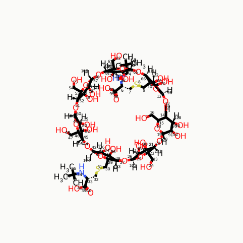 CC(C)(C)CN[C@H](CSCC1O[C@@H]2O[C@@H]3C(CO)O[C@@H](O[C@@H]4C(CO)O[C@@H](O[C@@H]5C(CSC[C@@H](NC(C)(C)C)C(=O)O)O[C@@H](O[C@@H]6C(CO)O[C@H](O[C@@H]7C(CO)O[C@H](O[C@@H]8C(CO)O[C@H](O[C@H]1[C@H](O)C2O)C(O)[C@H]8O)[C@@H](O)C7O)[C@@H](O)C6O)[C@@H](O)C5O)[C@@H](O)C4O)C(O)[C@H]3O)C(=O)O